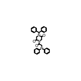 O=C(CN(c1ccccc1)c1ccccc1)N1CC(=O)N(C(c2ccccc2)c2ccccc2)CC1=O